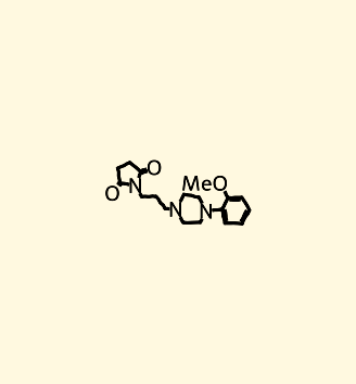 COc1ccccc1N1CCN(CCCN2C(=O)CCC2=O)CC1